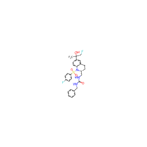 O=C(NCc1ccccc1)NCC1CCc2cc(C(O)(CF)C(F)(F)F)ccc2N1S(=O)(=O)c1ccc(F)cc1